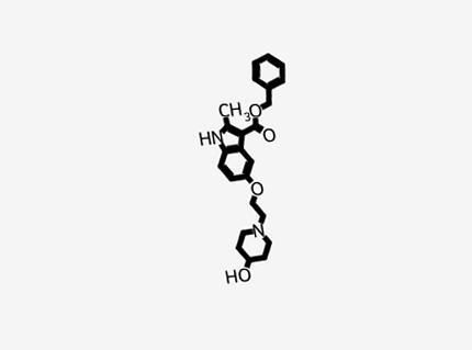 Cc1[nH]c2ccc(OCCN3CCC(O)CC3)cc2c1C(=O)OCc1ccccc1